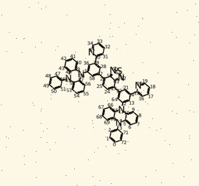 c1ccc(N2c3ccccc3N(c3cc(-c4ccccn4)cc(-c4ccc(-c5cc(-c6ccccn6)cc(N6c7ccccc7N(c7ccccc7)c7ccccc76)c5)c5nsnc45)c3)c3ccccc32)cc1